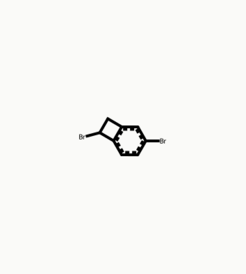 Brc1ccc2c(c1)CC2Br